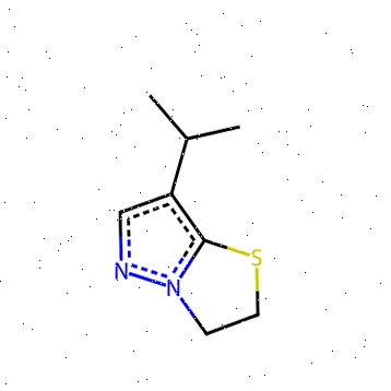 CC(C)c1cnn2c1SCC2